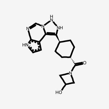 O=C([C@H]1CC[C@H](C2=C3c4cc[nH]c4N=CN3NN2)CC1)N1CC(O)C1